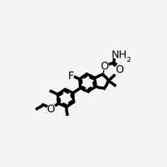 CCOc1c(C)cc(-c2cc3c(cc2F)[C@H](OC(N)=O)C(C)(C)C3)cc1C